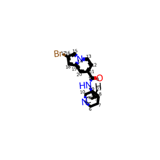 O=C(N[C@H]1CN2CCC1CC2)c1ccn2cc(Br)cc2c1